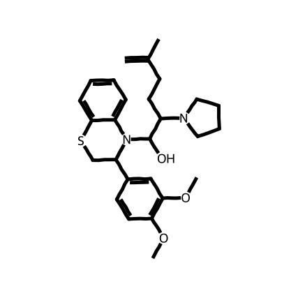 C=C(C)CCC(C(O)N1c2ccccc2SCC1c1ccc(OC)c(OC)c1)N1CCCC1